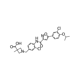 CC(C)Oc1ccc(-c2cc(C(=O)Nc3ccc(CN4CC(C)(C(=O)O)C4)cc3Cl)no2)cc1Cl